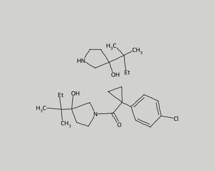 CCC(C)(C)C1(O)CCN(C(=O)C2(c3ccc(Cl)cc3)CC2)C1.CCC(C)(C)C1(O)CCNC1